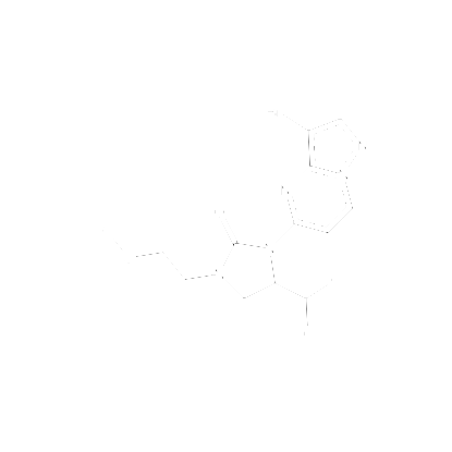 COCCN1CC(C(C)C)N(c2ccn3ncc(Br)c3n2)C1=O